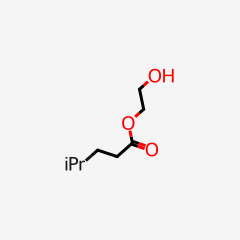 CC(C)CCC(=O)OCCO